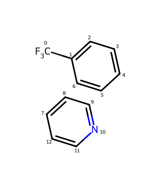 FC(F)(F)c1ccccc1.c1ccncc1